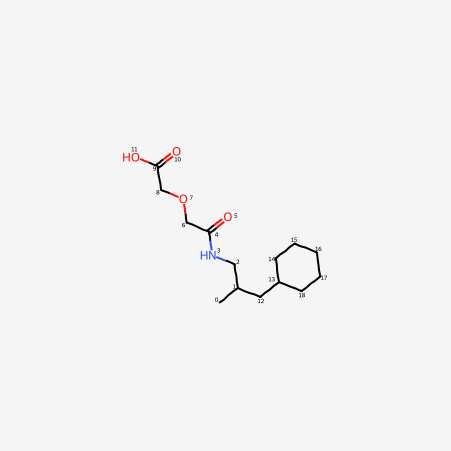 CC(CNC(=O)COCC(=O)O)CC1CCCCC1